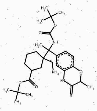 CC1Oc2ccc(C(C)(NC(=O)OC(C)(C)C)C3(CN)CCCC(C(=O)OC(C)(C)C)C3)cc2NC1=S